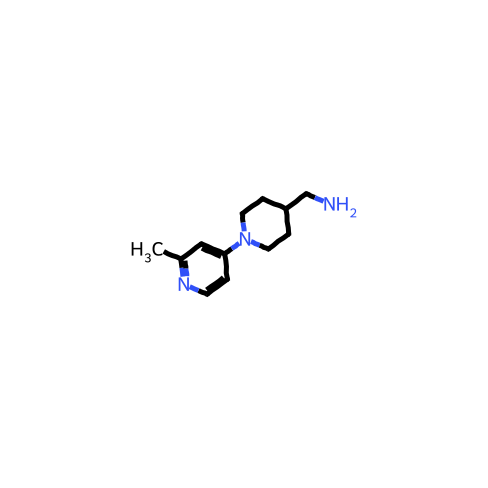 Cc1cc(N2CCC(CN)CC2)ccn1